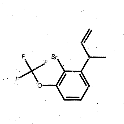 C=C[C](C)c1cccc(OC(F)(F)F)c1Br